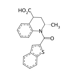 C[C@H]1CC(C(=O)O)c2ccccc2N1C(=O)c1cc2ccccc2s1